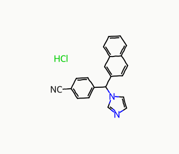 Cl.N#Cc1ccc(C(c2ccc3ccccc3c2)n2ccnc2)cc1